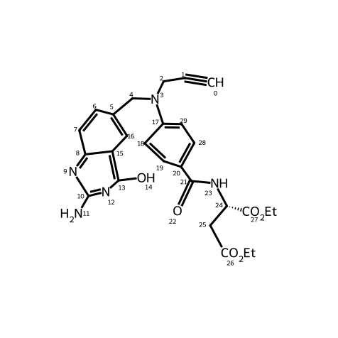 C#CCN(Cc1ccc2nc(N)nc(O)c2c1)c1ccc(C(=O)N[C@@H](CC(=O)OCC)C(=O)OCC)cc1